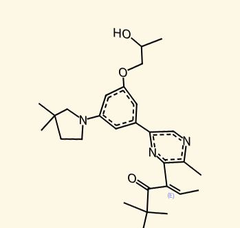 C/C=C(/C(=O)C(C)(C)C)c1nc(-c2cc(OCC(C)O)cc(N3CCC(C)(C)C3)c2)cnc1C